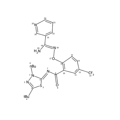 CCCCn1nc(C(C)(C)C)sc1=NC(=O)c1cc(C(F)(F)F)ccc1ON=C(N)c1cccnc1